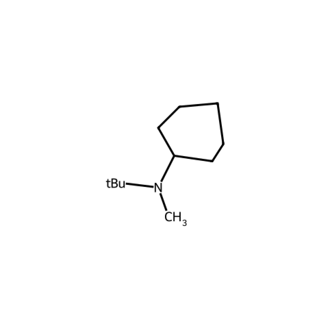 CN(C1CCCCC1)C(C)(C)C